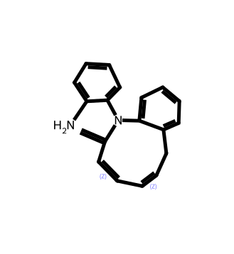 C=C1/C=C\C=C/Cc2ccccc2N1c1ccccc1N